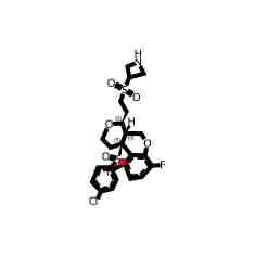 O=S(=O)(CC[C@@H]1OCC[C@@]2(S(=O)(=O)c3ccc(Cl)cc3)c3c(F)ccc(F)c3OC[C@@H]12)C1CNC1